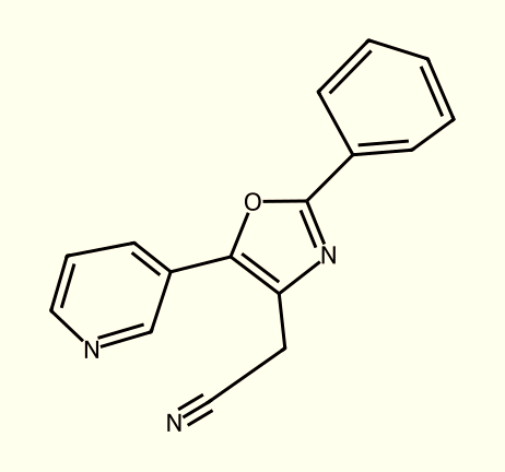 N#CCc1nc(-c2ccccc2)oc1-c1cccnc1